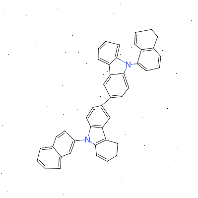 C1=Cc2c(cccc2-n2c3ccccc3c3cc(-c4ccc5c(c4)c4c(n5-c5ccc6ccccc6c5)C=CCC4)ccc32)CC1